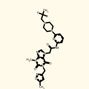 Cc1cc(Cn2c(=O)c3c(ncn3CC(=O)Nc3cccc(N4CCN(CC(C)(F)F)CC4)n3)n(C)c2=O)no1